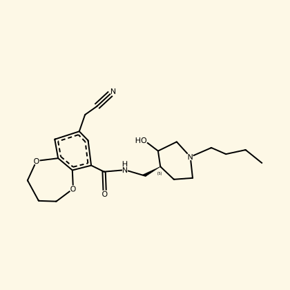 CCCCN1CC[C@@H](CNC(=O)c2cc(CC#N)cc3c2OCCCO3)C(O)C1